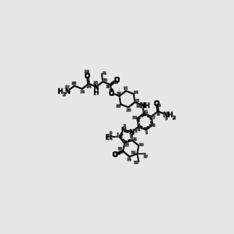 CCc1nn(-c2ccc(C(N)=O)c(NC3CCC(OC(=O)C(C)NC(=O)CCN)CC3)c2)c2c1C(=O)CC(C)(C)C2